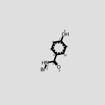 O=C(NBr)c1ccc(O)cc1